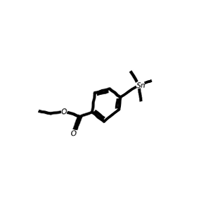 CCOC(=O)c1cc[c]([Sn]([CH3])([CH3])[CH3])cc1